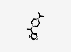 CC(C)N1CCN(C(C)c2cscn2)CC1